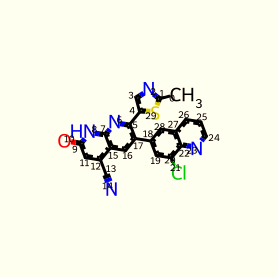 Cc1ncc(-c2nc3[nH]c(=O)cc(C#N)c3cc2-c2cc(Cl)c3ncccc3c2)s1